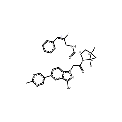 CC(=O)c1nn(CC(=O)N2[C@@H]3C[C@H]3C[C@H]2C(=O)NC/C(F)=C\c2ccccc2)c2ccc(-c3cnc(C)nc3)cc12